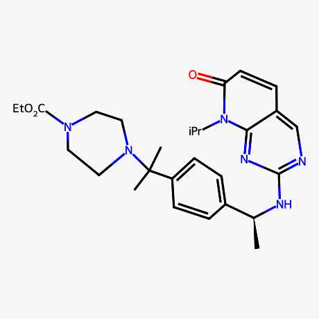 CCOC(=O)N1CCN(C(C)(C)c2ccc([C@H](C)Nc3ncc4ccc(=O)n(C(C)C)c4n3)cc2)CC1